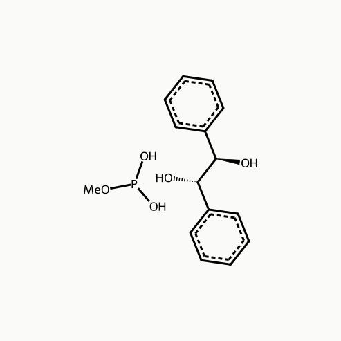 COP(O)O.O[C@H](c1ccccc1)[C@@H](O)c1ccccc1